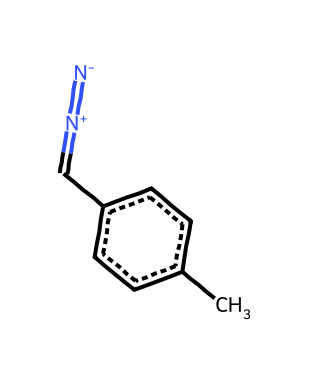 Cc1ccc(C=[N+]=[N-])cc1